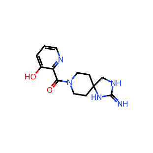 N=C1NCC2(CCN(C(=O)c3ncccc3O)CC2)N1